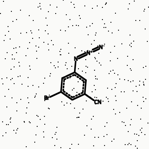 N#Cc1cc(Br)cc(N=[N+]=[N-])c1